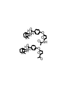 CC(=O)Nc1ccc(Oc2ccc(C(=O)N[C@@H]3C4CCN(CC4)[C@H]3C)cc2)o1.CC(=O)c1ccc(Oc2ccc(C(=O)N[C@@H]3C4CCN(CC4)[C@H]3C)cc2)o1